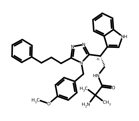 COc1ccc(Cn2c(CCCc3ccccc3)nnc2[C@@H](CNC(=O)C(C)(C)N)c2c[nH]c3ccccc23)cc1